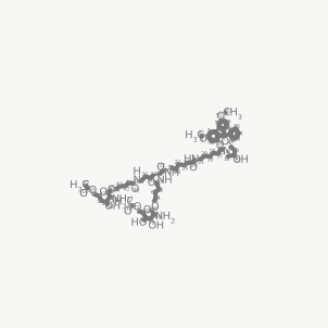 COc1ccc(C(OC[C@@H]2C[C@@H](O)CN2C(=O)CCCCCNC(=O)CCCCCNC(=O)[C@H](CCCCNC(=O)CCCCOC2OC(COC(C)=O)CC(O)[C@@H]2N)NC(=O)CCCCOC2OC(COC(C)=O)C(O)C(O)C2N)(c2ccccc2)c2ccc(OC)cc2)cc1